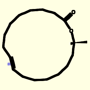 C[C@@H]1CCCCCC/C=C/CCCCCCCC(=O)O1